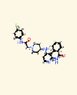 O=C(CN1CCC(Nc2ccnc3[nH]c(=O)c4ccccc4c23)CC1)Nc1ccc(F)cc1